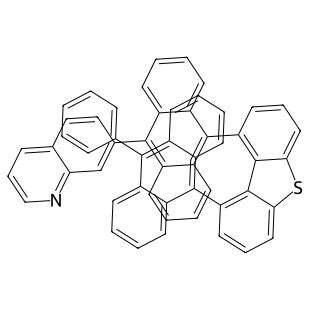 c1ccc(-c2c3ccccc3c(-c3cccc4sc5cccc(-c6c7ccccc7c(-c7ccc8cccnc8c7)c7ccccc67)c5c34)c3ccccc23)cc1